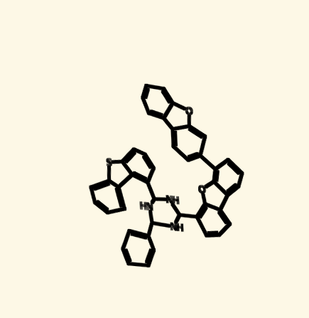 c1ccc(C2NC(c3cccc4c3oc3c(-c5ccc6c(c5)oc5ccccc56)cccc34)NC(c3cccc4sc5ccccc5c34)N2)cc1